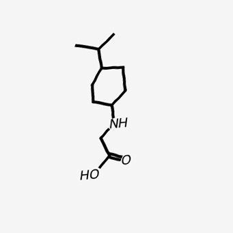 CC(C)C1CCC(NCC(=O)O)CC1